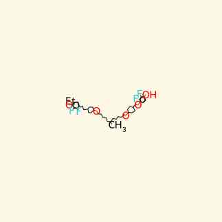 CCOc1ccc(CCC2CCC(OCCCCCC(C)CCCCCOC3CCC(COc4ccc(O)c(F)c4F)CC3)CC2)c(F)c1F